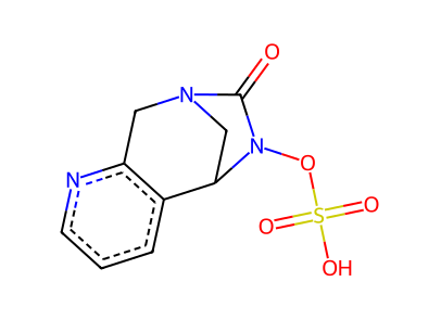 O=C1N2Cc3ncccc3C(C2)N1OS(=O)(=O)O